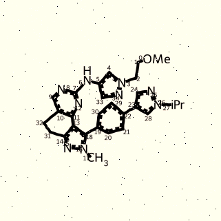 COCCn1cc(Nc2ncc3c(n2)-c2c(nn(C)c2-c2ccc(-c4cnn(C(C)C)c4)cc2)CC3)cn1